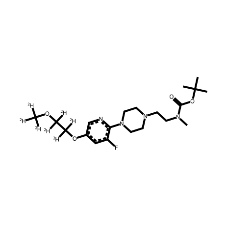 [2H]C([2H])([2H])OC([2H])([2H])C([2H])([2H])Oc1cnc(N2CCN(CCN(C)C(=O)OC(C)(C)C)CC2)c(F)c1